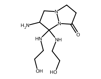 NC1CN2CCC(=O)N2C1(NCCO)NCCO